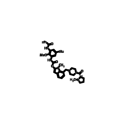 CCCC(=O)Nc1cc(C(C)(C)C)cc(NC(=O)Oc2cc3cccc(CN4CCN(C(=O)[C@@H]5CCCN5C)CC4)c3n2C)c1OC